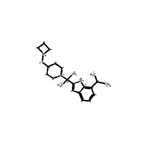 CC(C)c1cccc2cc(C(C)(C)N3CCC(SN4CCC4)CC3)[nH]c12